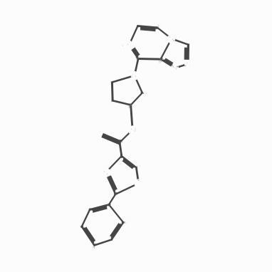 O=C(NC1CCN(c2nccn3cnnc23)C1)c1coc(-c2ccccc2)n1